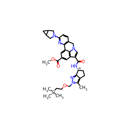 COC(=O)c1cc2c3c(c1)c(C(=O)N[C@@H]1CCc4c1nn(COCC[Si](C)(C)C)c4C)cn3Cc1ccc(N3CC4CC4C3)nc1-2